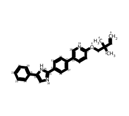 C=CC(C)(C)COc1ccc(-c2ccc(-c3ncc(-c4ccccc4)[nH]3)cc2)cn1